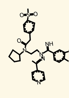 COc1ccc(C(=N)N(CCN(C(=O)Cc2ccc(S(C)(=O)=O)cc2)C2CCCC2)/N=C(\C)c2ccncc2)cc1Cl